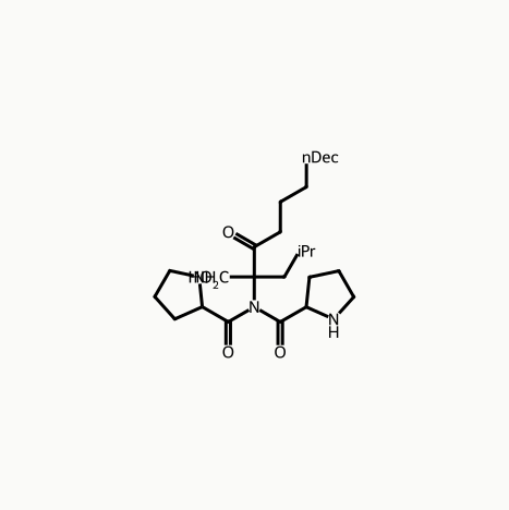 CCCCCCCCCCCCCC(=O)C(CC(C)C)(C(=O)O)N(C(=O)C1CCCN1)C(=O)C1CCCN1